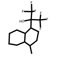 CC1CCC(C(O)(C(F)(F)F)C(F)(F)F)C2CCCCC12